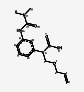 C=CCOCN(C(=O)O)c1cccc(NC(=O)N(C)C)c1